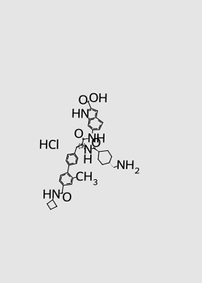 Cc1cc(C(=O)NC2CCC2)ccc1-c1ccc(C[C@H](NC(=O)[C@H]2CC[C@H](CN)CC2)C(=O)Nc2ccc3cc(C(=O)O)[nH]c3c2)cc1.Cl